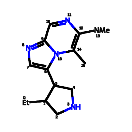 CCC1CNCC1c1cnc2cnc(NC)c(C)n12